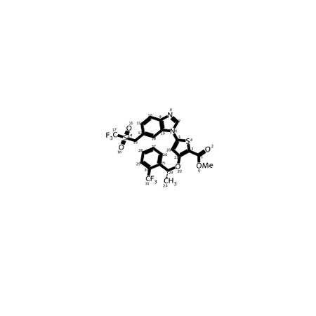 COC(=O)c1sc(-n2cnc3ccc(CS(=O)(=O)C(F)(F)F)cc32)cc1O[C@H](C)c1ccccc1C(F)(F)F